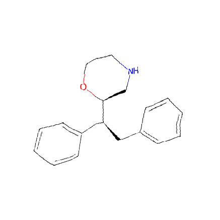 c1ccc(C[C@@H](c2ccccc2)[C@@H]2CNCCO2)cc1